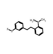 CN(N)c1ccccc1CCc1cccc(SF)c1